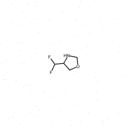 FC(F)C1COCN1